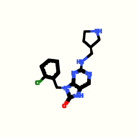 O=c1[nH]c2cnc(NC[C@H]3CCNC3)nc2n1Cc1ccccc1Cl